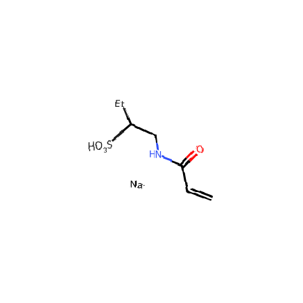 C=CC(=O)NCC(CC)S(=O)(=O)O.[Na]